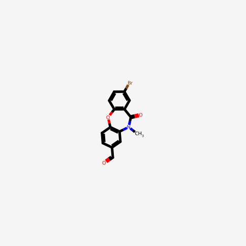 CN1C(=O)c2cc(Br)ccc2Oc2ccc(C=O)cc21